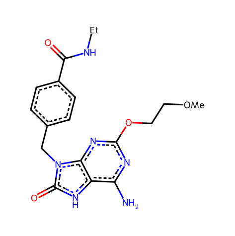 CCNC(=O)c1ccc(Cn2c(=O)[nH]c3c(N)nc(OCCOC)nc32)cc1